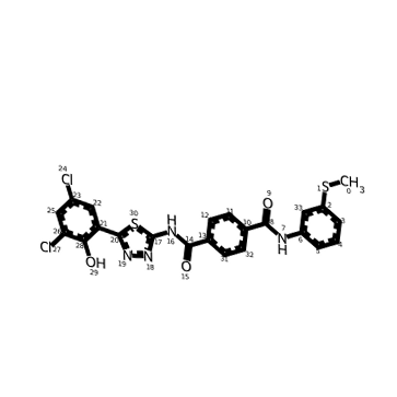 CSc1cccc(NC(=O)c2ccc(C(=O)Nc3nnc(-c4cc(Cl)cc(Cl)c4O)s3)cc2)c1